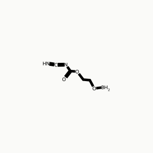 BOCCOC(=O)N=C=N